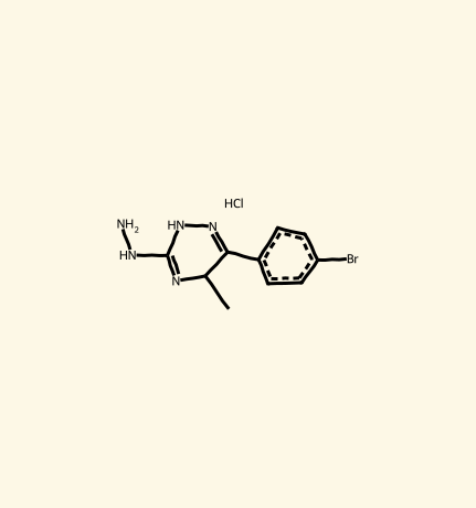 CC1N=C(NN)NN=C1c1ccc(Br)cc1.Cl